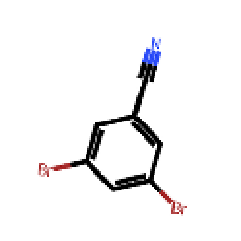 N#Cc1cc(Br)cc(Br)c1